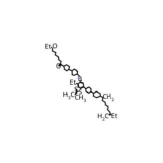 C=C(CC)CCCCCCC(=C)C1CCC(C2CCC(c3cc(/B=C/C4CCC(C5CCC(C(=O)CCCCCCC(=O)CC)CC5)CC4)c(CC)c4c3SC(=C(C)C)S4)CC2)CC1